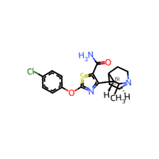 C[C@H]1[C@H](c2nc(Oc3ccc(Cl)cc3)sc2C(N)=O)C2CCN1CC2